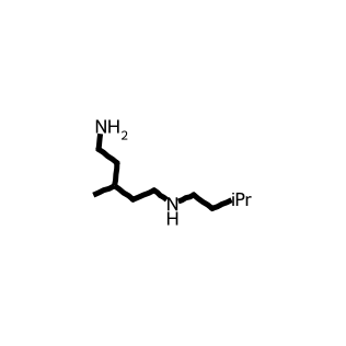 CC(C)CCNCCC(C)CCN